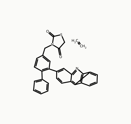 C=C.O=C1CSC(=O)N1Cc1ccc(-c2ccccc2)c(-c2ccc3c(c2)nc2c4cccc2c34)c1